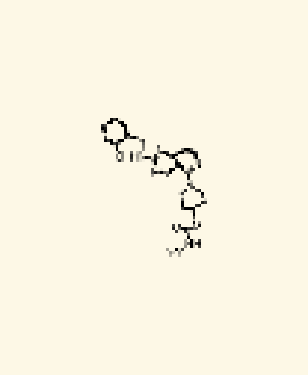 CCCNC(=O)OC1CCN(c2nccc3nc(NCc4ccccc4Cl)ncc23)CC1